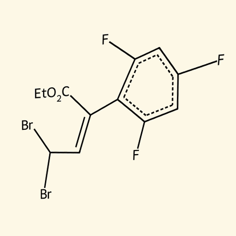 CCOC(=O)C(=CC(Br)Br)c1c(F)cc(F)cc1F